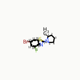 C[C@H]1CCCCN1c1nc2c(F)cc(Br)cc2s1